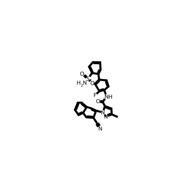 Cc1cc(C(=O)Nc2ccc(-c3ccccc3S(N)(=O)=O)cc2F)n(-c2cc3ccccc3cc2C#N)n1